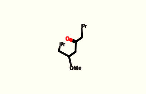 COC(CC(=O)CC(C)C)CC(C)C